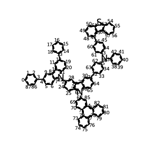 c1ccc(-c2ccc3c(c2)c2cc(-c4ccccc4)ccc2n3-c2ccc3c(c2)c2cc(-c4ccc(N(c5ccccc5)c5ccc(-c6cccc7sc8ccccc8c67)cc5)cc4)ccc2n3-c2ccc3c4ccccc4c4ccccc4c3c2)cc1